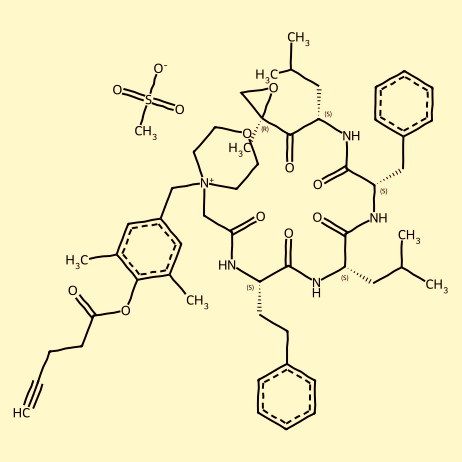 C#CCCC(=O)Oc1c(C)cc(C[N+]2(CC(=O)N[C@@H](CCc3ccccc3)C(=O)N[C@@H](CC(C)C)C(=O)N[C@@H](Cc3ccccc3)C(=O)N[C@@H](CC(C)C)C(=O)[C@@]3(C)CO3)CCOCC2)cc1C.CS(=O)(=O)[O-]